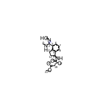 CN/C(=N\O)c1cccc2c1CC[C@@H]2NS(=O)(=O)CC(=O)OC